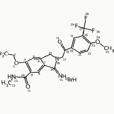 Br.CCOc1cc2c(cc1C(=O)NC)C(=N)N(CC(=O)c1ccc(OC)c(C(F)(F)F)c1)C2